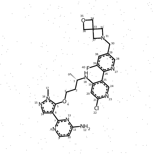 C[C@@H](CCOc1c(-c2nccc(N)n2)cnn1C)Nc1cc(Cl)ncc1-c1ncc(CN2CC3(COC3)C2)cc1F